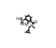 CN(CC1CC1)C(=O)c1cccc(B(O)O)c1F